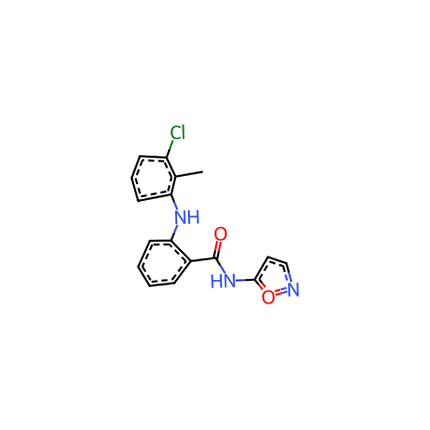 Cc1c(Cl)cccc1Nc1ccccc1C(=O)Nc1ccno1